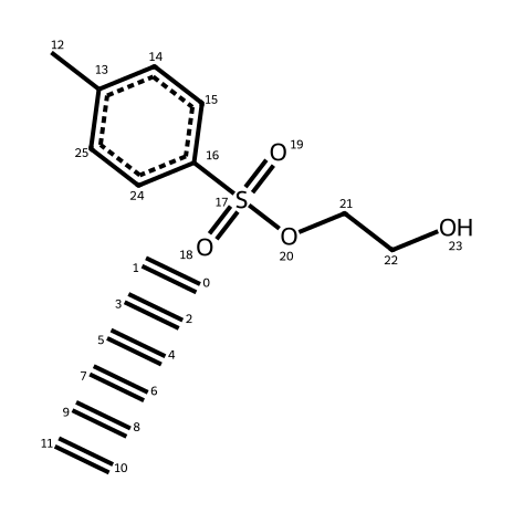 C=C.C=C.C=C.C=C.C=C.C=C.Cc1ccc(S(=O)(=O)OCCO)cc1